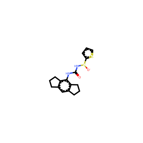 O=C(Nc1c2c(cc3c1CCC3)CCC2)N[S+]([O-])c1cccs1